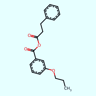 CCCOc1cccc(C(=O)OC(=O)CCc2ccccc2)c1